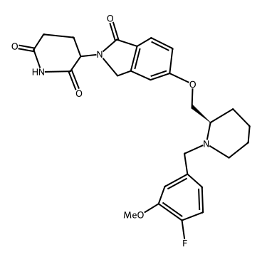 COc1cc(CN2CCCC[C@@H]2COc2ccc3c(c2)CN(C2CCC(=O)NC2=O)C3=O)ccc1F